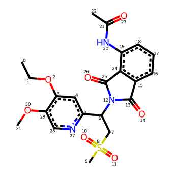 CCOc1cc(C(CS(C)(=O)=O)N2C(=O)c3cccc(NC(C)=O)c3C2=O)ncc1OC